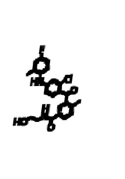 Cc1cc(F)ccc1Nc1ccc(C(=O)c2cc(C(=O)NCCO)ccc2C)c(Cl)c1